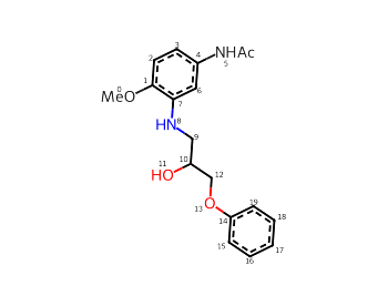 COc1ccc(NC(C)=O)cc1NCC(O)COc1ccccc1